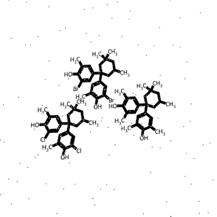 Cc1cc(C2(c3cc(C)c(O)c(Br)c3)CC(C)CC(C)(C)C2)cc(Br)c1O.Cc1cc(C2(c3cc(C)c(O)c(C)c3)CC(C)CC(C)(C)C2)cc(C)c1O.Cc1cc(C2(c3cc(C)c(O)c(Cl)c3)CC(C)CC(C)(C)C2)cc(Cl)c1O